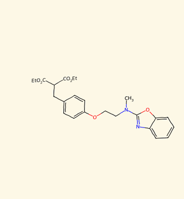 CCOC(=O)C(Cc1ccc(OCCN(C)c2nc3ccccc3o2)cc1)C(=O)OCC